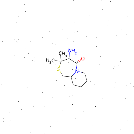 CC1(C)SCC2CCCCN2C(=O)C1N